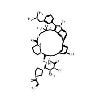 C=CC(=O)N1CC[C@H](C(=O)N(C)[C@@H](C(=O)N[C@H]2Cc3cc(O)cc(c3)-c3ccc4c(c3)c(c(-c3cccc(CN(C)C)c3)n4CC)CC(C)(C)COC(=O)[C@@H]3CCCN(N3)C2=O)C(C)C)C1